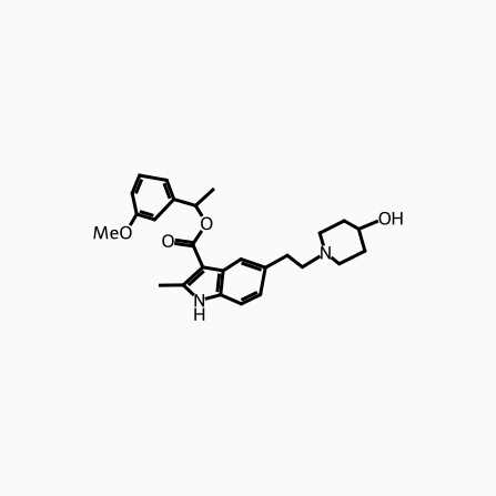 COc1cccc(C(C)OC(=O)c2c(C)[nH]c3ccc(CCN4CCC(O)CC4)cc23)c1